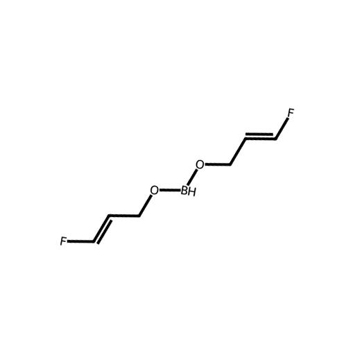 FC=CCOBOCC=CF